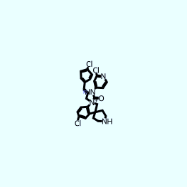 O=C(Nc1ccnc(Cl)c1)[N+]1(C/C=C/c2ccc(Cl)cc2)CC2(CCNCC2)c2cc(Cl)ccc21